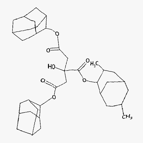 CC1CC2CC(C)C(OC(=O)C(O)(CC(=O)OC3C4CC5CC(C4)CC3C5)CC(=O)OC3C4CC5CC(C4)CC3C5)C(C1)C2